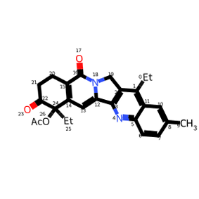 CCc1c2c(nc3ccc(C)cc13)-c1cc3c(c(=O)n1C2)CCC(=O)C3(CC)OC(C)=O